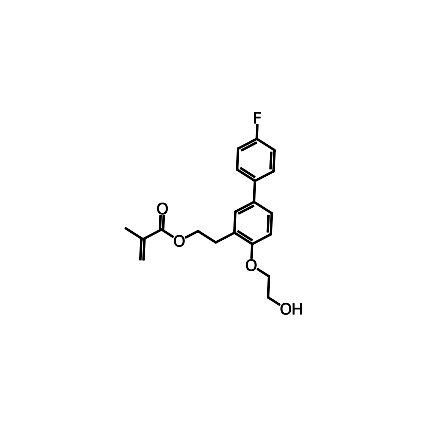 C=C(C)C(=O)OCCc1cc(-c2ccc(F)cc2)ccc1OCCO